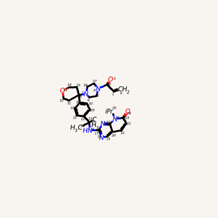 C=CC(=O)N1CCN(C2(c3ccc(C(C)(C)Nc4ncc5ccc(=O)n(C(C)C)c5n4)cc3)CCOCC2)CC1